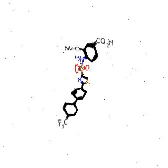 COc1cc(C(=O)O)ccc1NS(=O)(=O)c1csc(-c2ccc(C3CCC(C(F)(F)F)CC3)cc2)n1